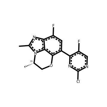 Cc1nc2c(F)cc(-c3nc(Cl)ncc3F)c3c2n1[C@@H](C)CO3